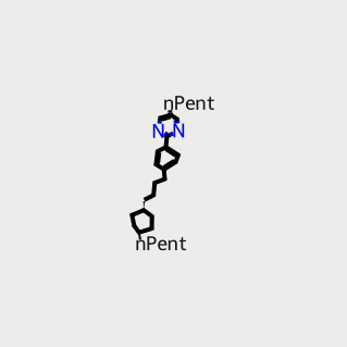 CCCCCc1cnc(-c2ccc(CCCC[C@H]3CC[C@H](CCCCC)CC3)cc2)nc1